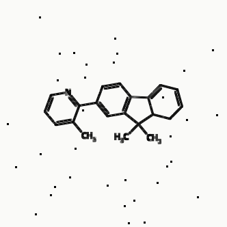 Cc1cccnc1-c1ccc2c(c1)C(C)(C)C1CC=CC=C21